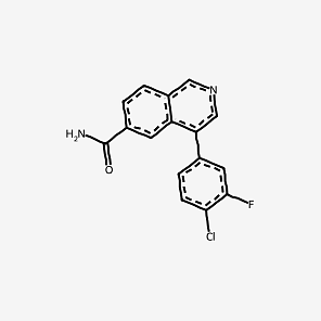 NC(=O)c1ccc2cncc(-c3ccc(Cl)c(F)c3)c2c1